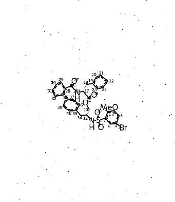 COc1ccc(Br)cc1S(=O)(=O)N[C@@H](COC(=O)[C@@H](Cc1ccccc1)NC(=O)c1ccccc1)Cc1ccccc1